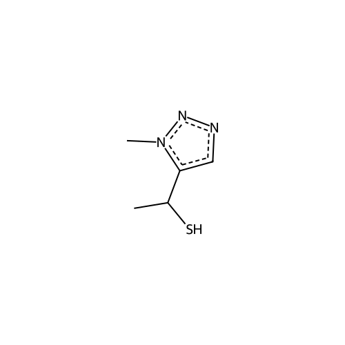 CC(S)c1cnnn1C